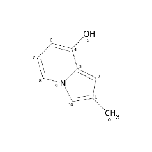 Cc1cc2c(O)cccn2c1